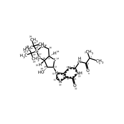 CC(C)C(=O)Nc1nc2c(ncn2[C@@H]2S[C@@H]3CO[Si](C(C)(C)C)(C(C)(C)C)O[C@H]3[C@H]2O)c(=O)[nH]1